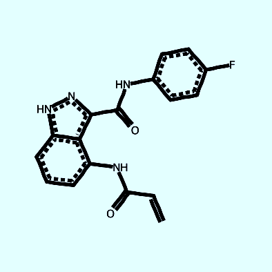 C=CC(=O)Nc1cccc2[nH]nc(C(=O)Nc3ccc(F)cc3)c12